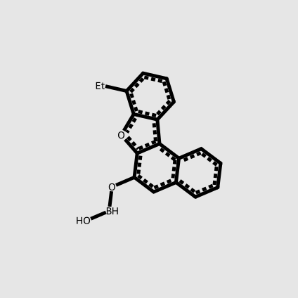 CCc1cccc2c1oc1c(OBO)cc3ccccc3c12